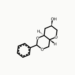 O[C@H]1CO[C@@H]2COC(c3ccccc3)O[C@H]2C1